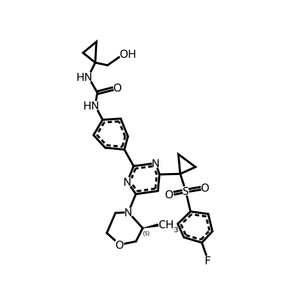 C[C@H]1COCCN1c1cc(C2(S(=O)(=O)c3ccc(F)cc3)CC2)nc(-c2ccc(NC(=O)NC3(CO)CC3)cc2)n1